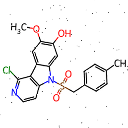 COc1cc2c3c(Cl)nccc3n(S(=O)(=O)Cc3ccc(C)cc3)c2cc1O